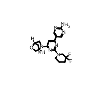 Nc1ncc(-c2cc(N3C[C@@H]4C[C@H]3CO4)nc(N3CCCC(F)(F)C3)n2)cn1